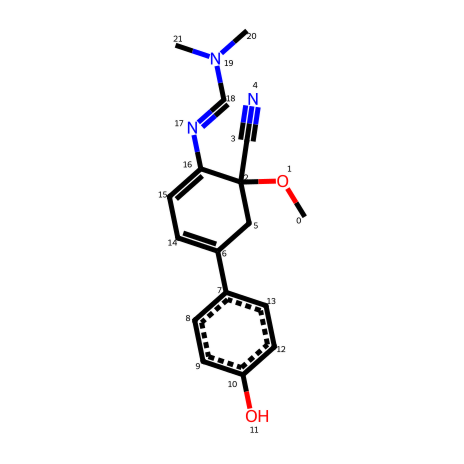 COC1(C#N)CC(c2ccc(O)cc2)=CC=C1N=CN(C)C